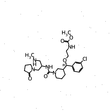 CNCC(CN1CCCC1=O)NC(=O)N1CCCC([C@@H](OCCNC(=O)OC)c2cccc(Cl)c2)C1